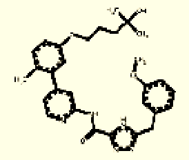 COc1cccc(Cc2nnc(C(=O)Nc3cc(-c4cc(OCCCC(C)(C)O)ccc4C)ccn3)[nH]2)c1